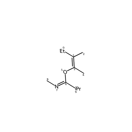 CC/C(C)=C(/C)O/C(=N\C)C(C)C